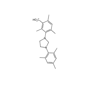 Cc1cc(C)c(N2CCN(c3c(C)cc(C)c(C(=O)O)c3C)C2)c(C)c1